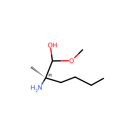 CCCC[C@@](C)(N)C(O)OC